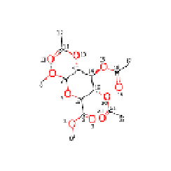 COC(=O)C1OC(OC)[C@H](OC(C)=O)[C@@H](OC(C)=O)[C@@H]1OC(C)=O